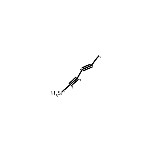 CC#CC#C[SiH3]